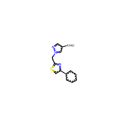 O=Cc1cnn(Cc2nc(-c3ccccc3)cs2)c1